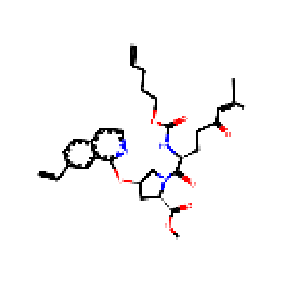 C=CCCCOC(=O)N[C@@H](CCC(=O)C=C(C)C)C(=O)N1C[C@H](Oc2nccc3ccc(C=C)cc23)C[C@H]1C(=O)OC